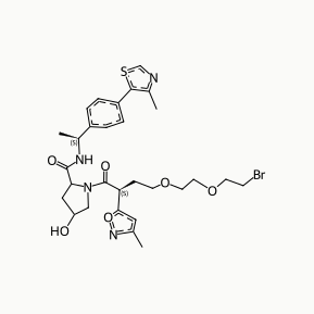 Cc1cc([C@H](CCOCCOCCBr)C(=O)N2CC(O)CC2C(=O)N[C@@H](C)c2ccc(-c3scnc3C)cc2)on1